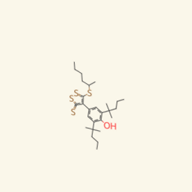 CCCCC(C)Sc1ssc(=S)c1-c1cc(C(C)(C)CCC)c(O)c(C(C)(C)CCC)c1